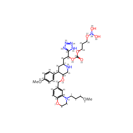 COCCCN1CCOc2ccc(COC3CNC(CC(OC(=O)OCCCON(O)O)c4nnn[nH]4)CC3c3ccc(OC)cc3)cc21